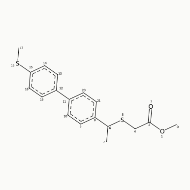 COC(=O)CSC(C)c1ccc(-c2ccc(SC)cc2)cc1